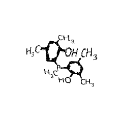 Cc1cc(C)c(O)c(P(C)c2cc(C)cc(C)c2O)c1